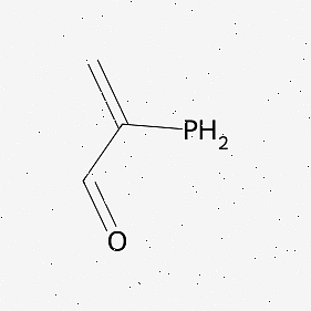 C=C(P)C=O